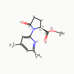 Cc1cc(C(F)(F)F)cc(N2C(=O)CC[C@H]2C(=O)OC(C)(C)C)n1